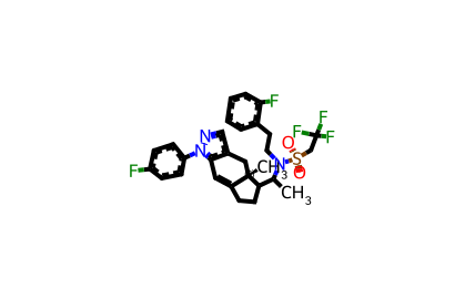 CC(C1CCC2=Cc3c(cnn3-c3ccc(F)cc3)C[C@@]21C)N(CCc1ccccc1F)S(=O)(=O)CC(F)(F)F